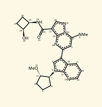 CNc1cc(-c2cn([C@H]3CCC[C@@H]3OC)c3ncccc23)nc2c(C(=O)N[C@@H]3CC[C@@H]3O)cnn12